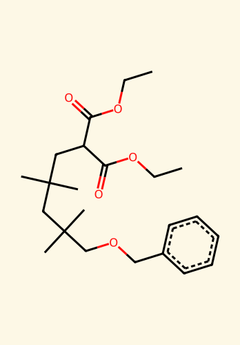 CCOC(=O)C(CC(C)(C)CC(C)(C)COCc1ccccc1)C(=O)OCC